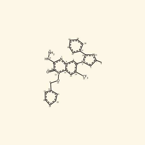 Cc1cn(-c2cc3nc(NN)c(=O)n(OCc4ccccc4)c3cc2C(F)(F)F)c(-c2ccccc2)n1